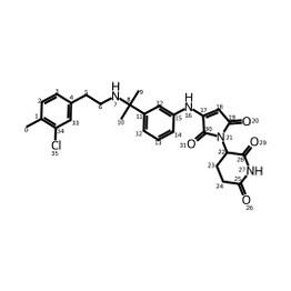 Cc1ccc(CCNC(C)(C)c2cccc(NC3=CC(=O)N(C4CCC(=O)NC4=O)C3=O)c2)cc1Cl